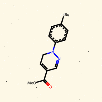 COC(=O)C1=CCN(c2ccc(C(C)(C)C)cc2)N=C1